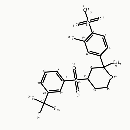 CC1(c2ccc(S(C)(=O)=O)c(F)c2)CC(S(=O)(=O)c2cccc(C(F)(F)F)c2)CCO1